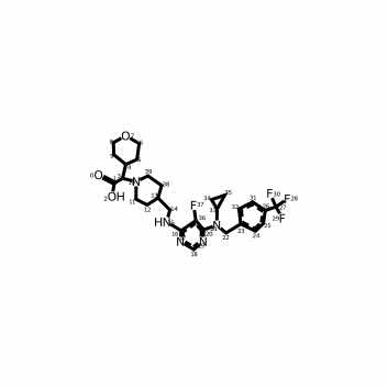 O=C(O)C(C1CCOCC1)N1CCC(CNc2ncnc(N(Cc3ccc(C(F)(F)F)cc3)C3CC3)c2F)CC1